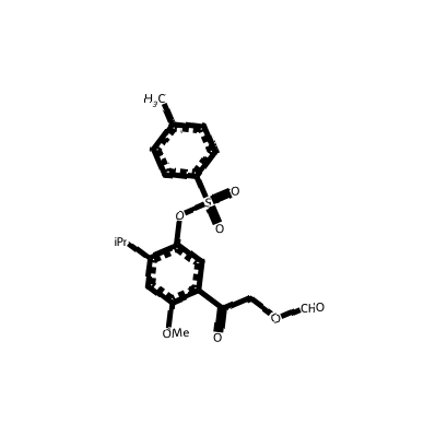 COc1cc(C(C)C)c(OS(=O)(=O)c2ccc(C)cc2)cc1C(=O)COC=O